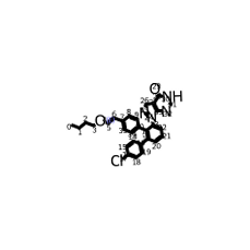 CCCCO/C=C/c1ccc(-c2c(-c3ccc(Cl)cc3)cccc2-n2ncc3c(=O)[nH]cnc32)cc1